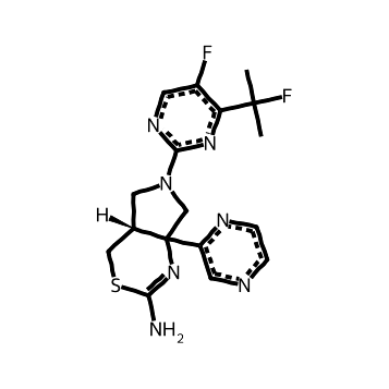 CC(C)(F)c1nc(N2C[C@H]3CSC(N)=NC3(c3cnccn3)C2)ncc1F